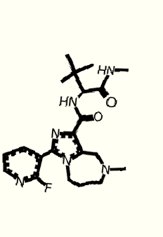 CNC(=O)[C@@H](NC(=O)c1nc(-c2cccnc2F)n2c1CN(C)CCC2)C(C)(C)C